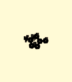 FC(F)(F)c1cc(-c2cccc3c2oc2c(-c4cc(-c5cccnc5)cc(-c5cccnc5)c4)cccc23)cc(C(F)(F)F)c1